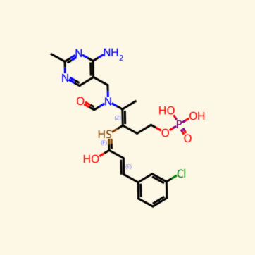 C/C(=C(CCOP(=O)(O)O)/[SH]=C(O)\C=C\c1cccc(Cl)c1)N(C=O)Cc1cnc(C)nc1N